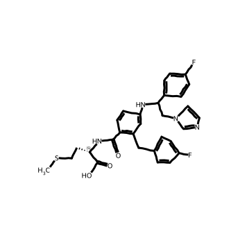 CSCC[C@H](NC(=O)c1ccc(NC(Cn2ccnc2)c2ccc(F)cc2)cc1Cc1ccc(F)cc1)C(=O)O